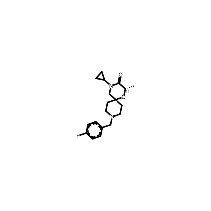 C[C@@H]1OC2(CCN(Cc3ccc(F)cc3)CC2)CN(C2CC2)C1=O